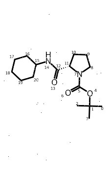 CC(C)(C)OC(=O)N1CCC[C@H]1C(=O)NC1CCCCC1